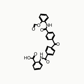 O=COc1ccccc1NC(=O)c1ccc(C(=O)c2ccc(C(=O)Nc3ccccc3C(=O)O)cc2)cc1